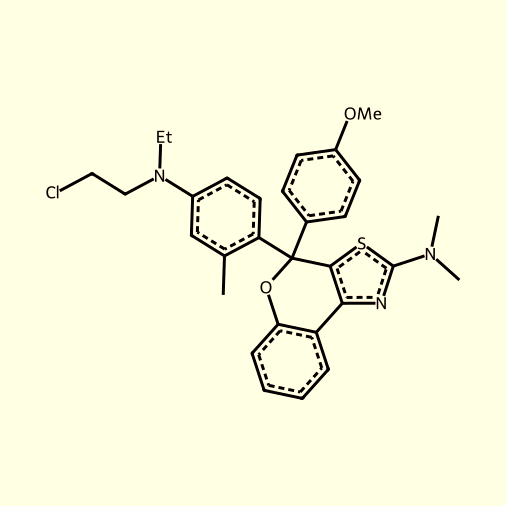 CCN(CCCl)c1ccc(C2(c3ccc(OC)cc3)Oc3ccccc3-c3nc(N(C)C)sc32)c(C)c1